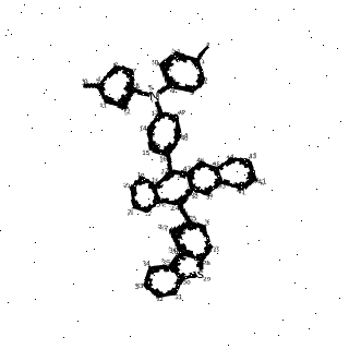 Cc1ccc(N(c2ccc(C)cc2)c2ccc(-c3c4ccccc4c(-c4ccc5sc6ccccc6c5c4)c4cc5ccccc5cc34)cc2)cc1